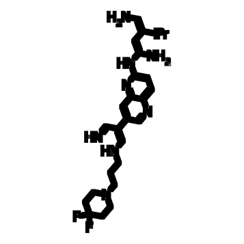 CC(C)C(=C/N)/C=C(\N)Nc1ccc2ncc(/C(C=N)=C/NCCCN3CCC(F)(F)CC3)cc2n1